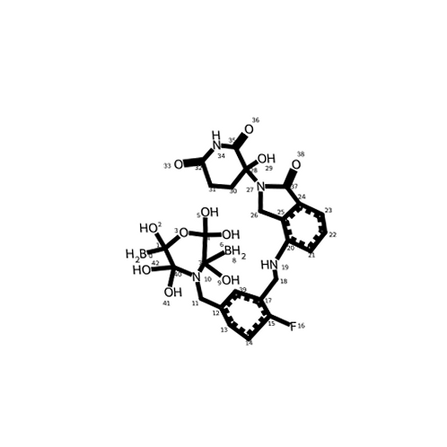 BC1(O)OC(O)(O)C(B)(O)N(Cc2ccc(F)c(CNc3cccc4c3CN(C3(O)CCC(=O)NC3=O)C4=O)c2)C1(O)O